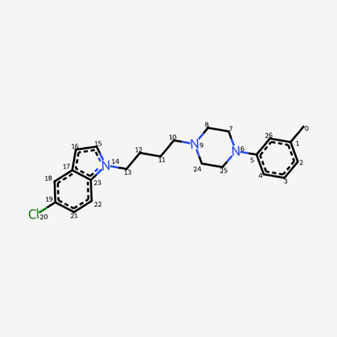 Cc1cccc(N2CCN(CCCCn3ccc4cc(Cl)ccc43)CC2)c1